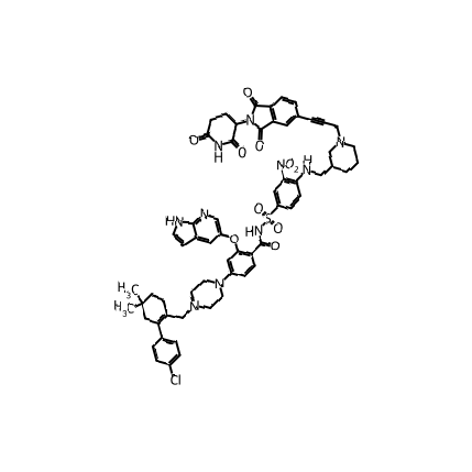 CC1(C)CCC(CN2CCN(c3ccc(C(=O)NS(=O)(=O)c4ccc(NCC5CCCN(CC#Cc6ccc7c(c6)C(=O)N(C6CCC(=O)NC6=O)C7=O)C5)c([N+](=O)[O-])c4)c(Oc4cnc5[nH]ccc5c4)c3)CC2)=C(c2ccc(Cl)cc2)C1